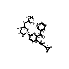 CC(C)C[C@H]1CN(c2ccc(C#CC3CC3)c(C(=O)c3cccnc3)n2)CCN1